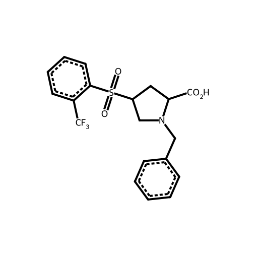 O=C(O)C1CC(S(=O)(=O)c2ccccc2C(F)(F)F)CN1Cc1ccccc1